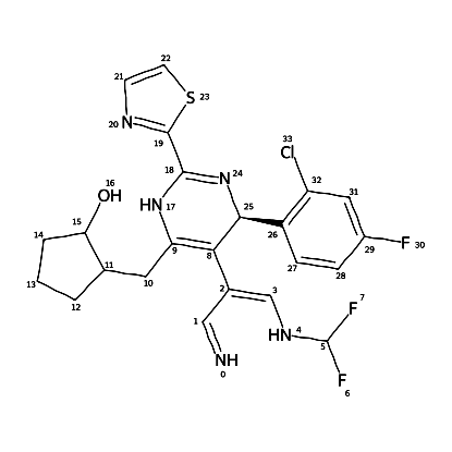 N=C/C(=C\NC(F)F)C1=C(CC2CCCC2O)NC(c2nccs2)=N[C@H]1c1ccc(F)cc1Cl